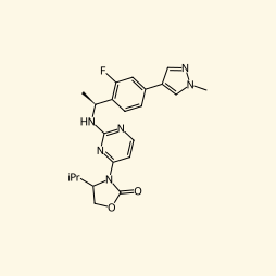 CC(C)C1COC(=O)N1c1ccnc(N[C@@H](C)c2ccc(-c3cnn(C)c3)cc2F)n1